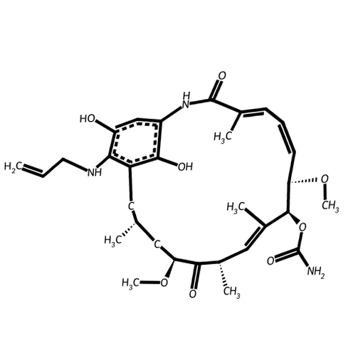 C=CCNc1c(O)cc2c(O)c1C[C@@H](C)C[C@H](OC)C(=O)[C@@H](C)/C=C(\C)[C@H](OC(N)=O)[C@@H](OC)/C=C\C=C(/C)C(=O)N2